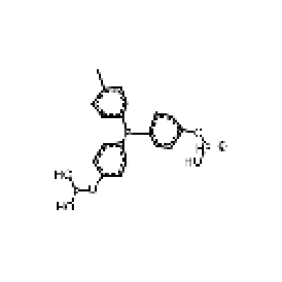 Cc1ccc(P(c2ccc(OP(O)O)cc2)c2ccc(O[PH](=O)O)cc2)cc1